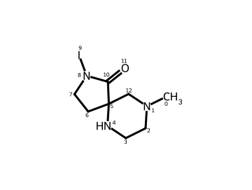 CN1CCNC2(CCN(I)C2=O)C1